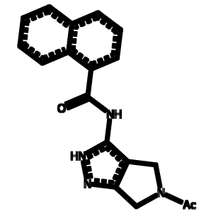 CC(=O)N1Cc2n[nH]c(NC(=O)c3cccc4ccccc34)c2C1